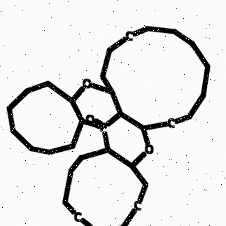 O=P12C3CCCCCCCCC3OC3CCCCCCCCCCC(OC4CCCCCCCC41)C32